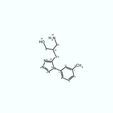 Cc1cccc(-n2nnnc2SC(CN)CO)c1